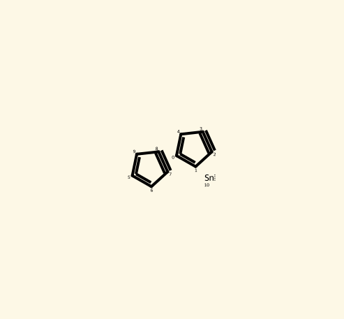 C1=CC#CC=1.C1=CC#CC=1.[Sn]